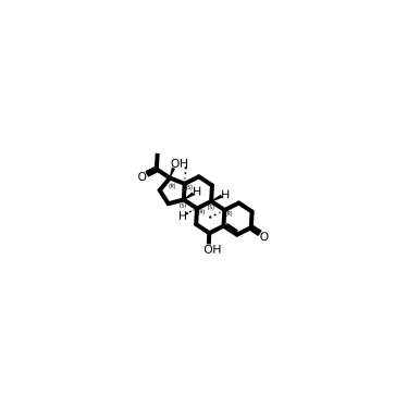 CC(=O)[C@@]1(O)CC[C@H]2[C@@H]3CC(O)C4=CC(=O)CC[C@]4(C)[C@H]3CC[C@@]21C